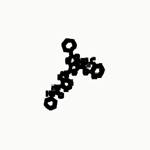 O=C(NC1=CCCC=C1)Nc1ncnc2c1ncn2C1OC(COc2ncccc2C(=O)O)C2OC(C3CCCCC3)OC21